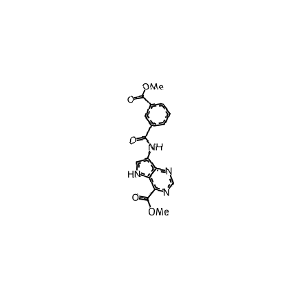 COC(=O)c1cccc(C(=O)Nc2c[nH]c3c(C(=O)OC)ncnc23)c1